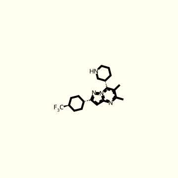 Cc1nc2cc([C@H]3CC[C@H](C(F)(F)F)CC3)nn2c([C@H]2CCCNC2)c1C